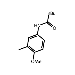 CCCCC(=O)Nc1ccc(OC)c(C)c1